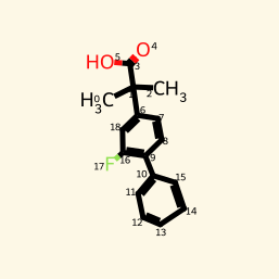 CC(C)(C(=O)O)c1ccc(-c2ccccc2)c(F)c1